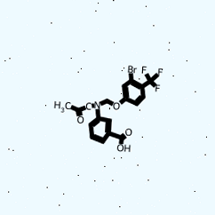 CC(=O)CN(COc1ccc(C(F)(F)F)c(Br)c1)c1cccc(C(=O)O)c1